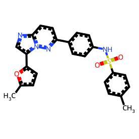 Cc1ccc(S(=O)(=O)Nc2ccc(-c3ccc4ncc(-c5ccc(C)o5)n4n3)cc2)cc1